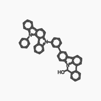 OC1c2ccccc2-c2cccc3c4cc(-c5cccc(-n6c7ccccc7c7c6ccc6c8ccccc8n(-c8ccccc8)c67)c5)ccc4n1c23